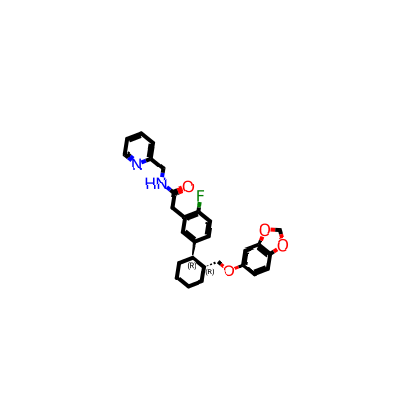 O=C(Cc1cc([C@@H]2CCCC[C@H]2COc2ccc3c(c2)OCO3)ccc1F)NCc1ccccn1